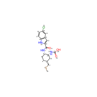 CSC[C@H]1CC[C@H](NC(=O)c2cc3cc(Cl)ccc3[nH]2)[C@H](NC(=O)O)C1